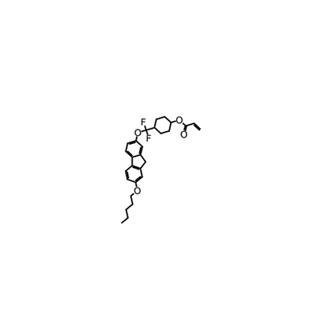 C=CC(=O)OC1CCC(C(F)(F)Oc2ccc3c(c2)Cc2cc(OCCCCC)ccc2-3)CC1